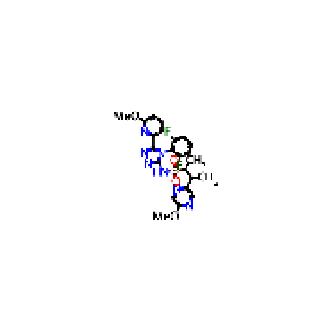 COc1cnc(C(C)C(C)S(=O)(=O)Nc2nnc(-c3cccc(OC)n3)n2-c2c(F)cccc2F)cn1